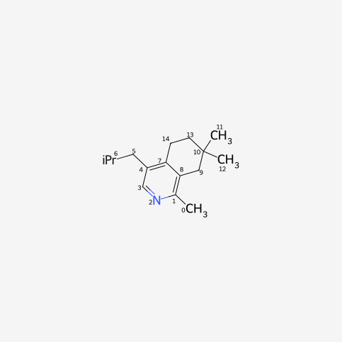 Cc1ncc(CC(C)C)c2c1CC(C)(C)CC2